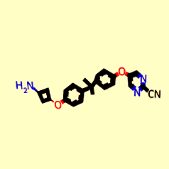 CC(C)(c1ccc(Oc2cnc(C#N)nc2)cc1)c1ccc(O[C@H]2C[C@H](N)C2)cc1